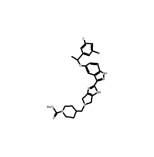 COC(=O)N1CCC(CN2Cc3nc(-c4n[nH]c5ccc(OC(C)c6cc(F)cc(F)c6)cc45)[nH]c3C2)CC1